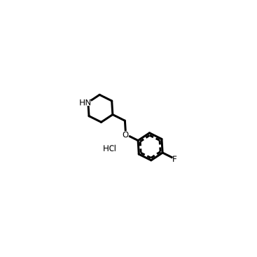 Cl.Fc1ccc(OCC2CCNCC2)cc1